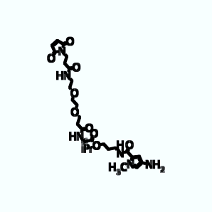 CC(C)[C@H](NC(=O)CCOCCOCCNC(=O)CCN1C(=O)C=CC1=O)C(=O)OCCCNC(=O)c1cc(N)cn1C